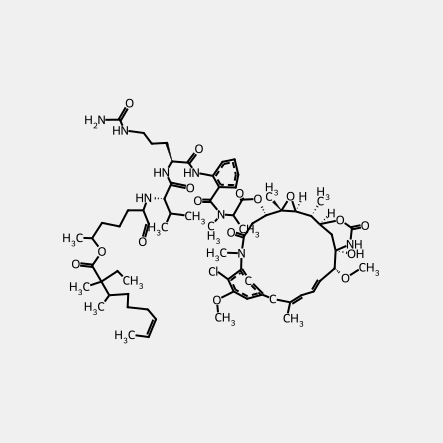 C/C=C\CCCC(C)C(C)(CC)C(=O)OC(C)CCCC(C=O)N[C@H](C(=O)N[C@@H](CCCNC(N)=O)C(=O)Nc1ccccc1C(=O)N(C)C(C)C(=O)O[C@H]1CC(=O)N(C)c2cc(cc(OC)c2Cl)C/C(C)=C/C=C/[C@@H](OC)[C@@]2(O)C[C@H](OC(=O)N2)[C@@H](C)[C@@H]2O[C@@]12C)C(C)C